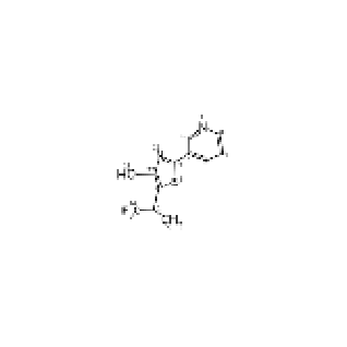 CC(c1sc(-c2cccnc2)nc1O)C(F)(F)F